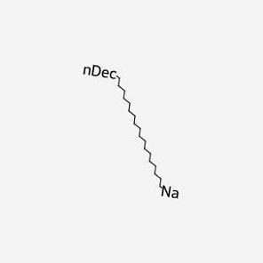 CCCCCCCCCCCCCCCCCCCCCCCCCCC[CH2][Na]